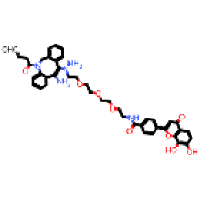 N/C1=C(\N(N)CCOCCOCCOCCNC(=O)c2ccc(-c3cc(=O)c4ccc(O)c(O)c4o3)cc2)c2ccccc2CN(C(=O)CCC=O)c2ccccc21